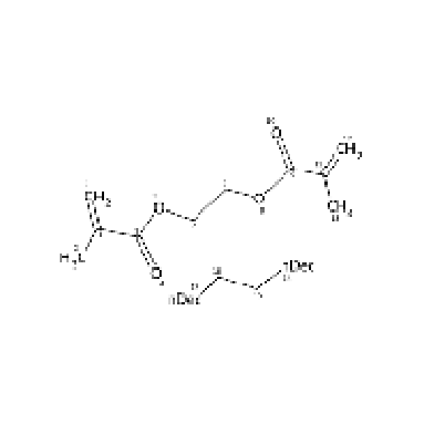 C=C(C)C(=O)OCCOC(=O)C(=C)C.CCCCCCCCCCCCCCCCCCCCCC